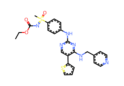 CCOC(=O)N=S(C)(=O)c1ccc(Nc2ncc(-c3cccs3)c(NCc3ccncc3)n2)cc1